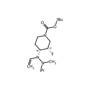 C=CN([C@@H]1CCN(C(=O)OC(C)(C)C)C[C@@H]1F)N(C)C(C)C